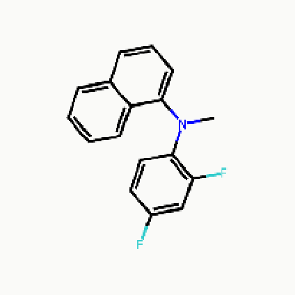 CN(c1ccc(F)cc1F)c1cccc2ccccc12